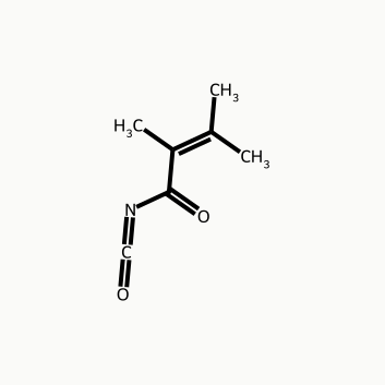 CC(C)=C(C)C(=O)N=C=O